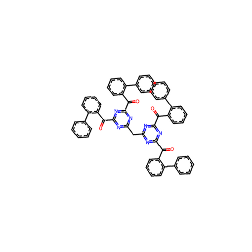 O=C(c1nc(Cc2nc(C(=O)c3ccccc3-c3ccccc3)nc(C(=O)c3ccccc3-c3ccccc3)n2)nc(C(=O)c2ccccc2-c2ccccc2)n1)c1ccccc1-c1ccccc1